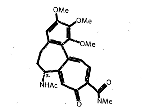 CNC(=O)c1ccc2c(cc1=O)[C@@H](NC(C)=O)CCc1cc(OC)c(OC)c(OC)c1-2